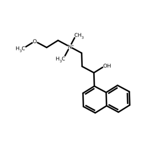 COCC[N+](C)(C)CCC(O)c1cccc2ccccc12